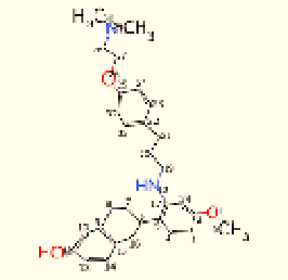 COc1ccc(C2CCc3cc(O)ccc3C2)c(NCCCc2ccc(OCCN(C)C)cc2)c1